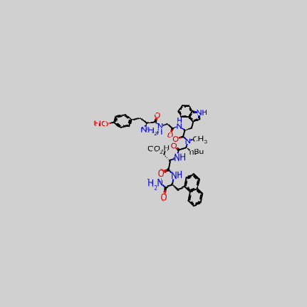 CCCC[C@@H](C(=O)N[C@@H](CC(=O)O)C(=O)N[C@@H](Cc1cccc2ccccc12)C(N)=O)N(C)C(=O)[C@H](Cc1c[nH]c2ccccc12)NC(=O)CNC(=O)[C@@H](N)Cc1ccc(O)cc1